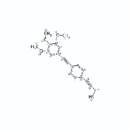 COc1cc(C#Cc2ccc(C#CCS)cc2)cc(OC)c1OC